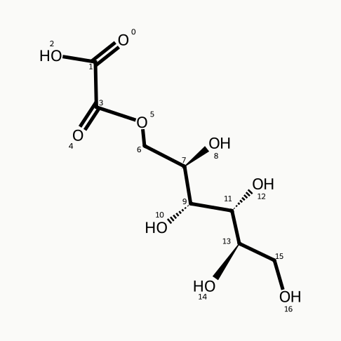 O=C(O)C(=O)OC[C@@H](O)[C@@H](O)[C@H](O)[C@H](O)CO